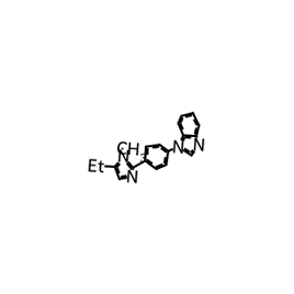 CCc1cnc(-c2ccc(-n3cnc4ccccc43)cc2)n1C